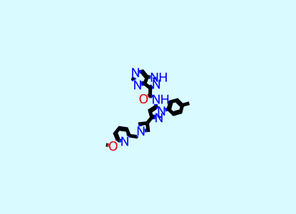 COc1cccc(CN2CC(c3cc(NC(=O)c4n[nH]c5cncnc45)n(-c4ccc(C)cc4)n3)C2)n1